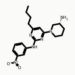 CCCCc1cc(N2CCC[C@@H](N)C2)nc(Nc2cccc([N+](=O)[O-])c2)n1